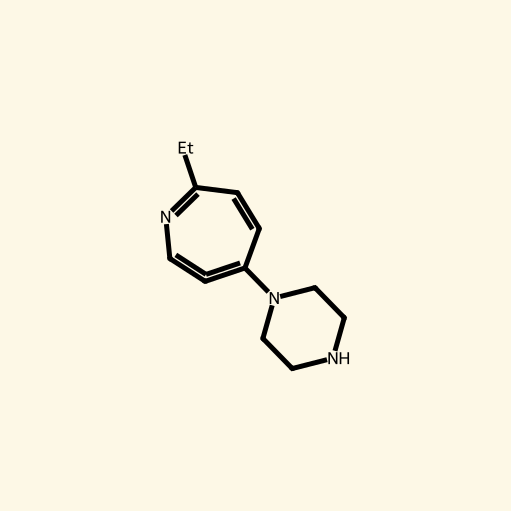 CCC1=NC=C=C(N2CCNCC2)C=C1